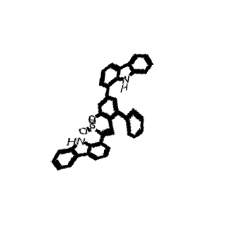 O=[PH]1Oc2cc(-c3cccc4c3[nH]c3ccccc34)cc(-c3ccccc3)c2C=C1c1cccc2c1[nH]c1ccccc12